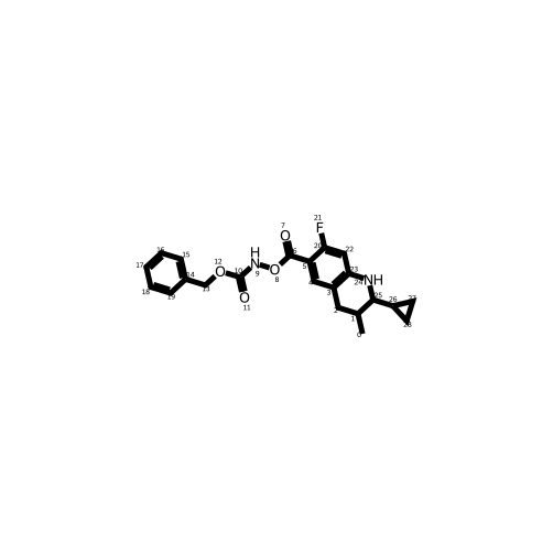 CC1Cc2cc(C(=O)ONC(=O)OCc3ccccc3)c(F)cc2NC1C1CC1